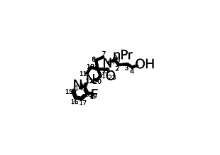 CCC[C@H](CCCO)N1CCC2(CCN(c3ncccc3F)CC2)C1=O